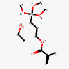 C=C(C)C(=O)OCCC[Si](OC)(OC)OC.CCO